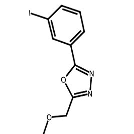 COCc1nnc(-c2cccc(I)c2)o1